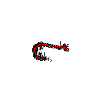 CC(=O)N1c2ccc(-c3ccc(C(=O)NCCOCCOCCOCCOCCOCCOCCOCCOCCNC(=O)c4nc(NC(=O)CCNC(=O)c5cc(NC(=O)c6nc(NC(=O)CCNC(=O)c7cc(NC(=O)c8nc(NC(=O)CCNC(=N)N)cn8C)cn7C)cn6C)cn5C)cn4C)cc3)cc2[C@H](Nc2ccc(Cl)cc2)C[C@@H]1C